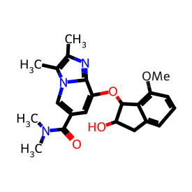 COc1cccc2c1C(Oc1cc(C(=O)N(C)C)cn3c(C)c(C)nc13)C(O)C2